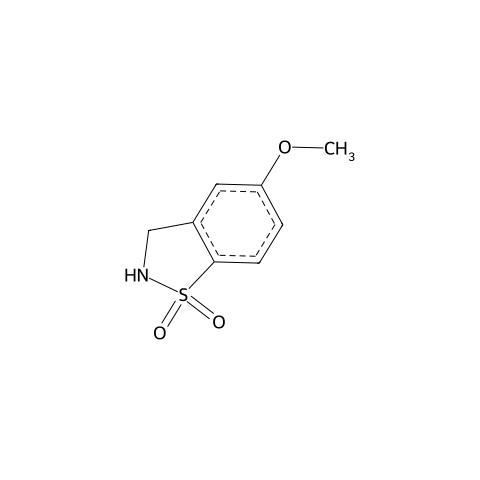 COc1ccc2c(c1)CNS2(=O)=O